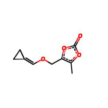 Cc1oc(=O)oc1COC=C1CC1